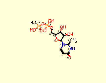 C=C1NC(=O)C=CN1C1OC(COP(=O)(O)OP(C)(=O)O)C(O)C1O